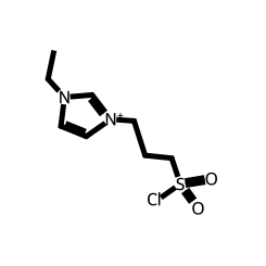 CCn1cc[n+](CCCS(=O)(=O)Cl)c1